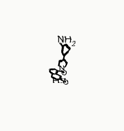 C[SH](C)(=O)c1ccc2cccc(C(=O)N3CCC(c4cccc(CN)c4)CC3)c2c1